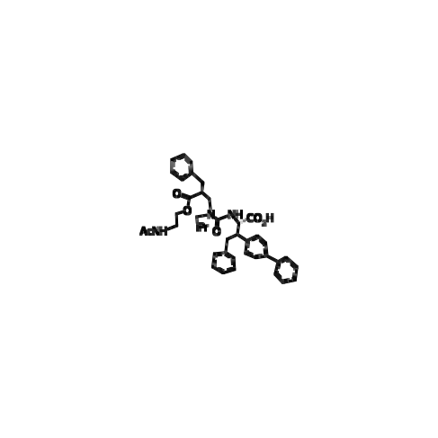 CC(=O)NCCOC(=O)[C@@H](Cc1ccccc1)CN(CC(C)C)C(=O)N[C@H](C(=O)O)C(Cc1ccccc1)c1ccc(-c2ccccc2)cc1